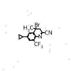 CC1(Br)CC(C#N)=Nc2c(C(F)(F)F)cc(C3CC3)cc21